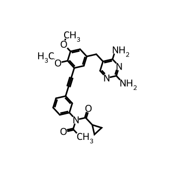 COc1cc(Cc2cnc(N)nc2N)cc(C#Cc2cccc(N(C(C)=O)C(=O)C3CC3)c2)c1OC